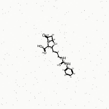 O=C(O)C1C(CCCNC(=S)Nc2ccccc2)SC2CC(=O)N21